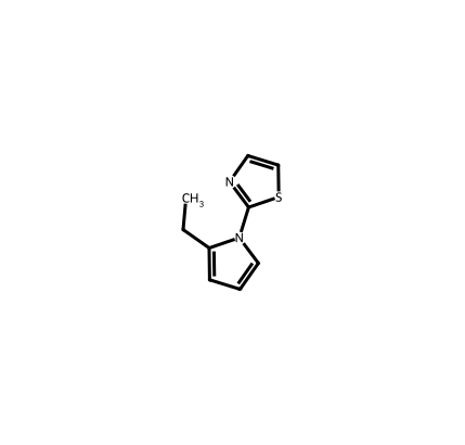 CCc1cccn1-c1nccs1